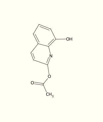 CC(=O)Oc1ccc2cccc(O)c2n1